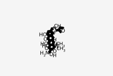 CN(Cc1cc(O)c2c(c1F)C[C@H]1C[C@H]3[C@H](N(C)C)C(O)=C(C(N)=O)C(=O)[C@@]3(O)C(O)=C1C2=O)CC1CCOC1